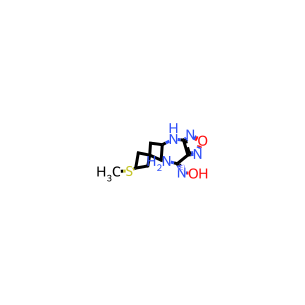 CSC1CC2(CC(Nc3nonc3/C(N)=N\O)C2)C1